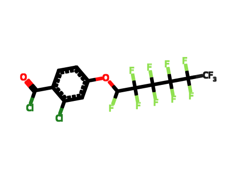 O=C(Cl)c1ccc(OC(F)C(F)(F)C(F)(F)C(F)(F)C(F)(F)C(F)(F)F)cc1Cl